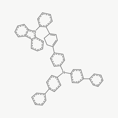 C1=C(c2ccc(N(c3ccc(-c4ccccc4)cc3)c3ccc(-c4ccccc4)cc3)cc2)CCC(c2ccccc2-n2c3ccccc3c3ccccc32)=C1